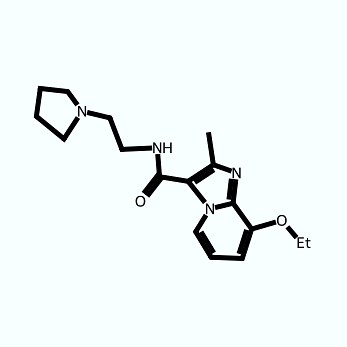 CCOc1cccn2c(C(=O)NCCN3CCCC3)c(C)nc12